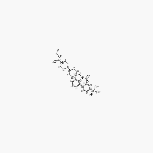 CCOC(=O)N1CCC(N2CCC3(CC2)CN(C(C)=O)c2c(-c4ccc(C(F)(F)F)cc4)cccc23)CC1